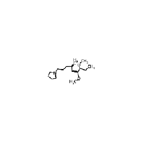 C=C(/C=C(/OC)C(CC)OC)CCCN1CCCC1